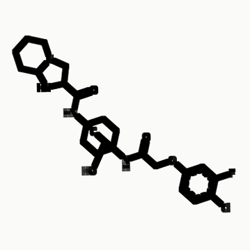 O=C(COc1ccc(Cl)c(F)c1)NC12CCC(NC(=O)C3CN4CCCCC4N3)(CC1)CC2O